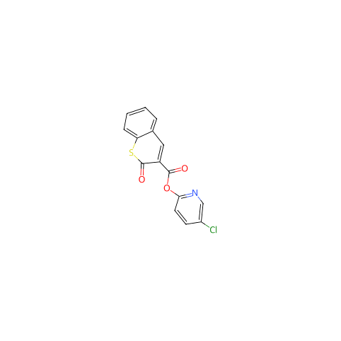 O=C(Oc1ccc(Cl)cn1)c1cc2ccccc2sc1=O